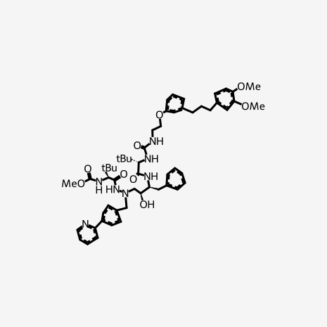 COC(=O)N[C@H](C(=O)NN(Cc1ccc(-c2ccccn2)cc1)C[C@H](O)[C@H](Cc1ccccc1)NC(=O)[C@@H](NC(=O)NCCOc1cccc(CCCc2ccc(OC)c(OC)c2)c1)C(C)(C)C)C(C)(C)C